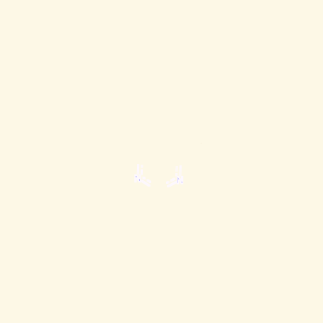 CCc1c(S)nc(C)nc1Cl